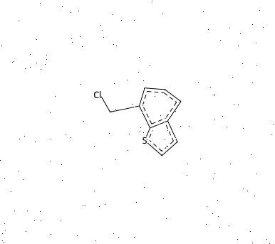 ClCc1cccc2ccsc12